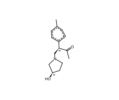 CC(=O)[C@@H](CN1CC[C@@H](O)C1)c1ccc(C)cc1